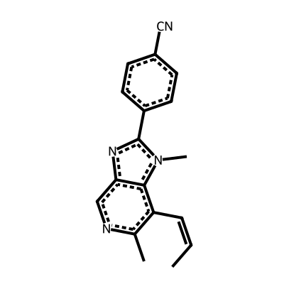 C/C=C\c1c(C)ncc2nc(-c3ccc(C#N)cc3)n(C)c12